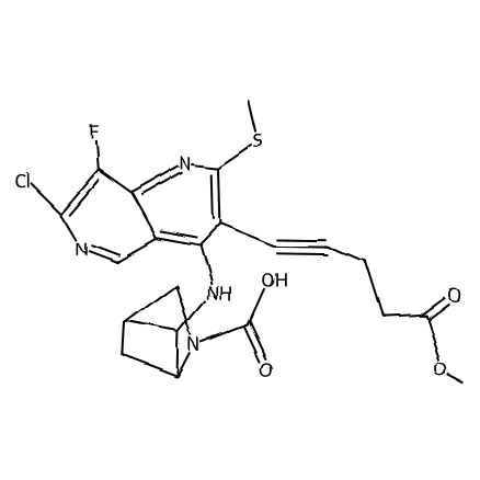 COC(=O)CCC#Cc1c(SC)nc2c(F)c(Cl)ncc2c1NC1C2CC1N(C(=O)O)C2